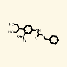 O=C(Nc1ccc(C(CO)CO)c([N+](=O)[O-])c1)OCc1ccccc1